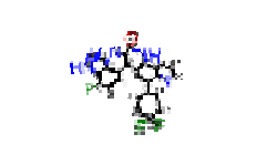 Nc1c(-c2ccc(F)c3[nH]ncc23)c2cc(C3CCC(F)(F)CC3)c3ncccc3c2[nH]c1=O